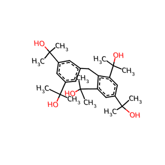 CC(C)(O)c1cc(Cc2c(C(C)(C)O)cc(C(C)(C)O)cc2C(C)(C)O)cc(C(C)(C)O)c1